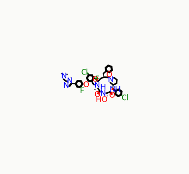 C[C@H]1C(=O)N[C@@H](CO)C(=O)N[C@@]2(Cc3ccc(Cl)cc3)CCCN(C2)C(=O)[C@H](Cc2ccccc2)CC(=O)N1Cc1c(F)cc(Cl)cc1Oc1ccc(-c2cnc(CN(C)C)n2C)cc1F